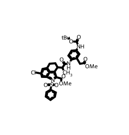 COC(=O)Cc1cc(NC(=O)OC(C)(C)C)ccc1NC(=O)C(C)C1CCc2cc(Cl)cc3c2c1c(C(=O)OC)n3S(=O)(=O)c1ccccc1